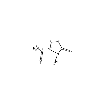 CC(C)N1C(=O)CC[C@H]1C(N)=O